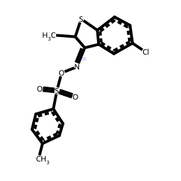 Cc1ccc(S(=O)(=O)O/N=C2/c3cc(Cl)ccc3SC2C)cc1